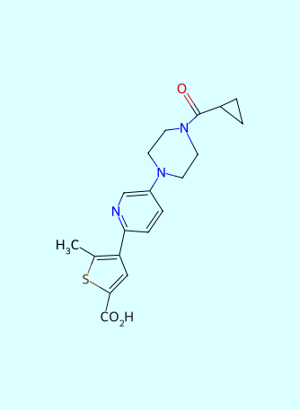 Cc1sc(C(=O)O)cc1-c1ccc(N2CCN(C(=O)C3CC3)CC2)cn1